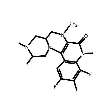 Cc1c(F)cc2c3c(c(=O)n(C)c2c1F)N(C(F)(F)F)CC1CN(C)C(C)CN31